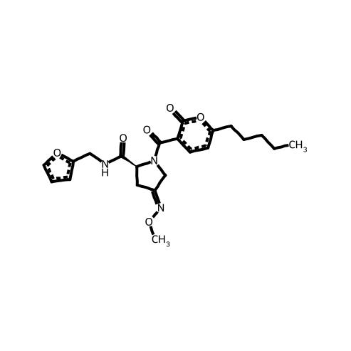 CCCCCc1ccc(C(=O)N2C/C(=N/OC)C[C@H]2C(=O)NCc2ccco2)c(=O)o1